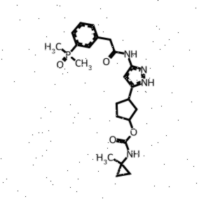 CC1(NC(=O)OC2CCC(c3cc(NC(=O)Cc4cccc(P(C)(C)=O)c4)n[nH]3)C2)CC1